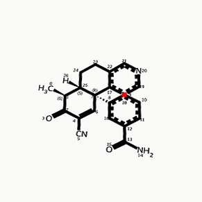 C[C@@H]1C(=O)C(C#N)=C[C@]2(c3cccc(C(N)=O)c3)c3ncncc3CC[C@@H]12